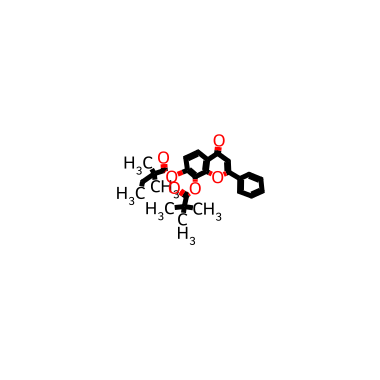 CCC(C)(C)C(=O)Oc1ccc2c(=O)cc(-c3ccccc3)oc2c1OC(=O)C(C)(C)C